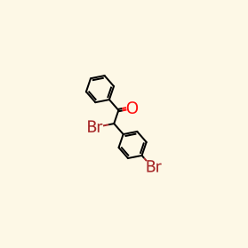 O=C(c1ccccc1)C(Br)c1ccc(Br)cc1